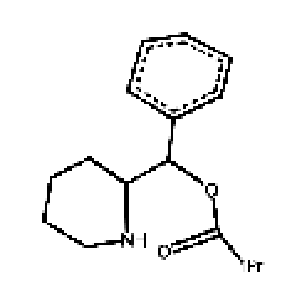 CC(C)C(=O)OC(c1ccccc1)C1CCCCN1